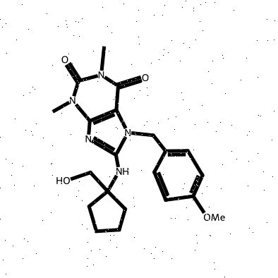 COc1ccc(Cn2c(NC3(CO)CCCC3)nc3c2c(=O)n(C)c(=O)n3C)cc1